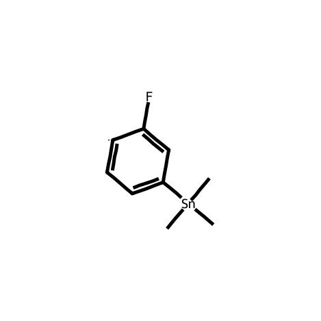 [CH3][Sn]([CH3])([CH3])[c]1cc[c]c(F)c1